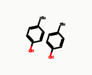 CC(C)(C)c1ccc(O)cc1.CCCCc1ccc(O)cc1